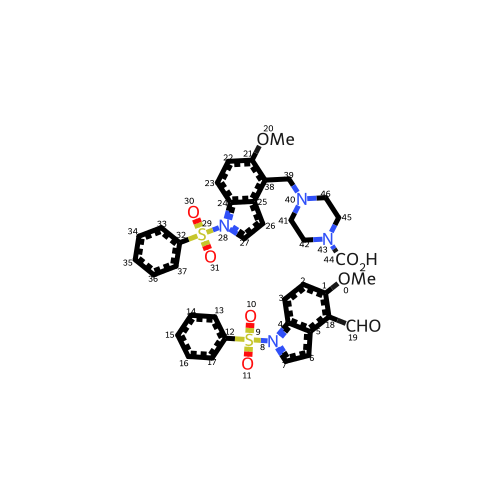 COc1ccc2c(ccn2S(=O)(=O)c2ccccc2)c1C=O.COc1ccc2c(ccn2S(=O)(=O)c2ccccc2)c1CN1CCN(C(=O)O)CC1